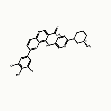 CC(=O)c1cnc2ccc(-c3cc(Cl)c(O)c(Cl)c3)nc2c1Nc1ccc(N2CCC[C@@H](N)C2)nc1